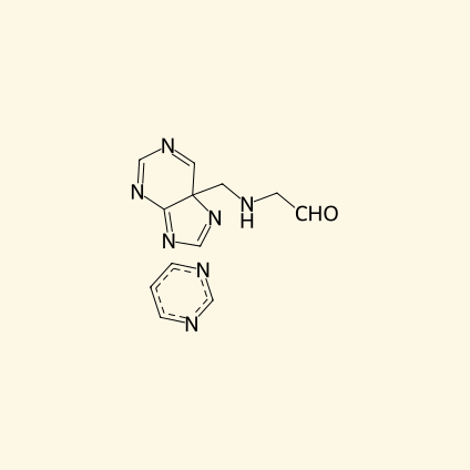 O=CCNCC12C=NC=NC1=NC=N2.c1cncnc1